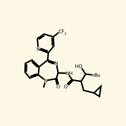 CCCCC(O)C(CC1CC1)C(=O)NC1N=C(c2cc(C(F)(F)F)ccn2)c2ccccc2N(C)C1=O